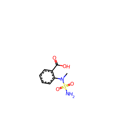 CN(c1ccccc1C(=O)O)S(N)(=O)=O